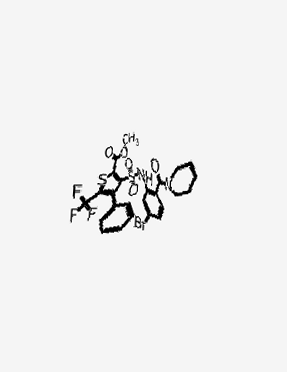 COC(=O)c1sc(C(F)(F)F)c(-c2ccccc2)c1S(=O)(=O)Nc1cc(Br)ccc1C(=O)N1CCCCC1